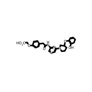 O=C(O)COc1ccc(CC(=O)Nc2cncc(N3CCCC(OC4=C(O)CCC=C4)C3)n2)cc1